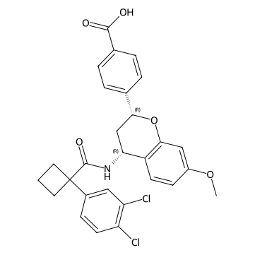 COc1ccc2c(c1)O[C@@H](c1ccc(C(=O)O)cc1)C[C@H]2NC(=O)C1(c2ccc(Cl)c(Cl)c2)CCC1